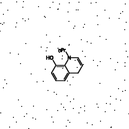 CCCN1C=CCc2cccc(O)c21